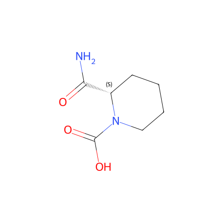 NC(=O)[C@@H]1CCCCN1C(=O)O